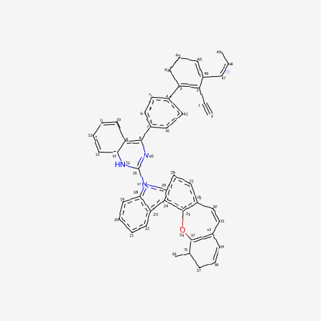 C#CC1=C(c2ccc(C3=C4C=CC=CC4NC(n4c5ccccc5c5c6c(ccc54)C=CC4=C(O6)C(C)CC=C4)=N3)cc2)CCC=C1/C=C\C